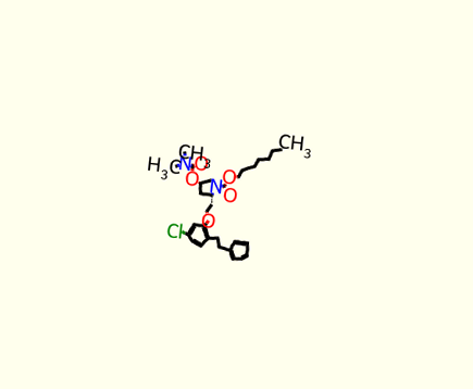 CCCCCCCCOC(=O)N1C[C@H](OC(=O)N(C)C)C[C@H]1CCOc1cc(Cl)ccc1CCc1ccccc1